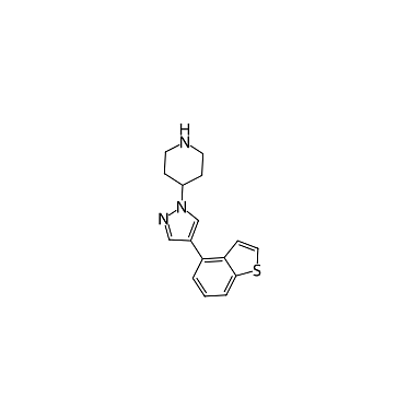 c1cc(-c2cnn(C3CCNCC3)c2)c2ccsc2c1